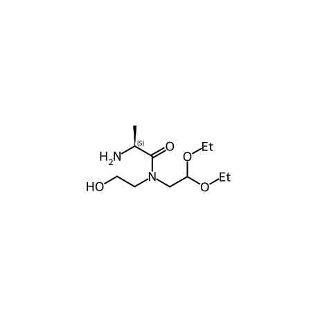 CCOC(CN(CCO)C(=O)[C@H](C)N)OCC